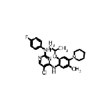 Cc1cc(Nc2nc(Nc3ccc(F)cc3)ncc2Cl)c(OC(C)C)cc1N1CCCCC1